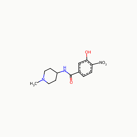 CN1CCC(NC(=O)c2ccc([N+](=O)[O-])c(O)c2)CC1